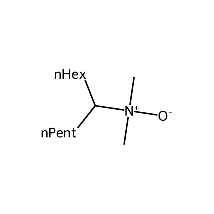 CCCCCCC(CCCCC)[N+](C)(C)[O-]